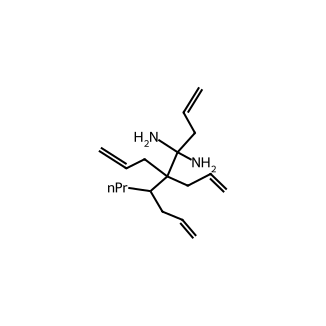 C=CCC(CCC)C(CC=C)(CC=C)C(N)(N)CC=C